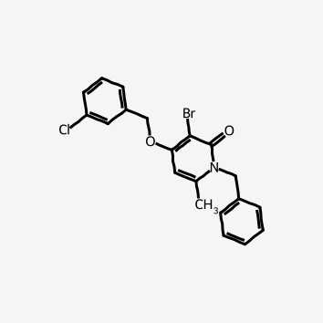 Cc1cc(OCc2cccc(Cl)c2)c(Br)c(=O)n1Cc1ccccc1